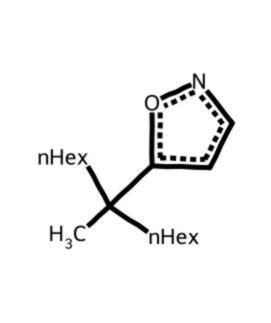 CCCCCCC(C)(CCCCCC)c1ccno1